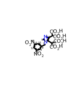 O=C(O)C(C(=O)O)c1ncn(Cc2cc([N+](=O)[O-])cc([N+](=O)[O-])c2)c1C(C(=O)O)C(=O)O